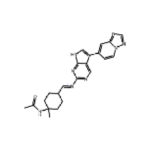 CC(=O)NC1(C)CCC(/C=N/c2ncc3c(-c4ccn5ncnc5c4)c[nH]c3n2)CC1